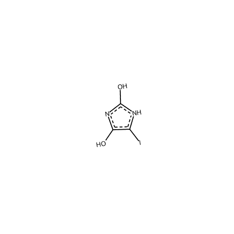 Oc1nc(O)c(I)[nH]1